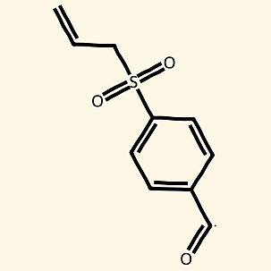 C=CCS(=O)(=O)c1ccc([C]=O)cc1